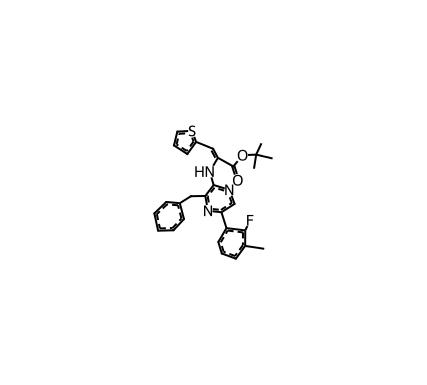 Cc1cccc(-c2cnc(N/C(=C\c3cccs3)C(=O)OC(C)(C)C)c(Cc3ccccc3)n2)c1F